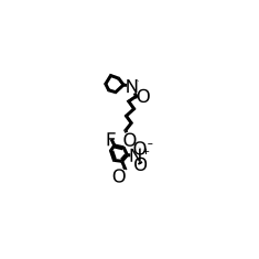 CN(C(=O)CCCCCOc1c(F)ccc(C=O)c1[N+](=O)[O-])C1CCCCC1